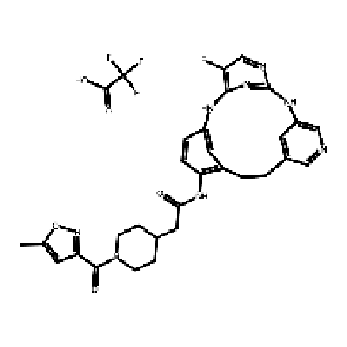 Cc1cc(C(=O)N2CCC(CC(=O)Nc3ccc4cc3CCc3cncc(c3)Nc3ncc(F)c(n3)N4)CC2)no1.O=C(O)C(F)(F)F